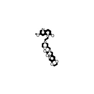 COc1cnc2ccc(=O)n(CCN3CCOC(CN(Cc4cc5c(cn4)OCCO5)C(=O)O)C3)c2c1